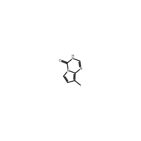 O=c1[nH]cnc2c(I)ccn12